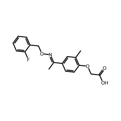 C/C(=N\OCc1ccccc1F)c1ccc(OCC(=O)O)c(C)c1